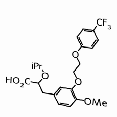 COc1ccc(CC(OC(C)C)C(=O)O)cc1OCCOc1ccc(C(F)(F)F)cc1